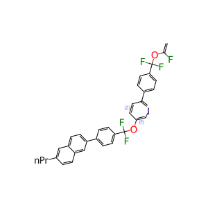 C=C(F)OC(F)(F)c1ccc(C(=C)/C=C\C(=C/I)OC(F)(F)c2ccc(-c3ccc4cc(CCC)ccc4c3)cc2)cc1